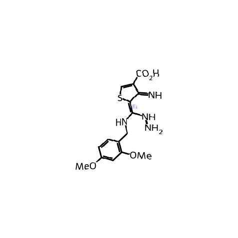 COc1ccc(CN/C(NN)=C2\SC=C(C(=O)O)C2=N)c(OC)c1